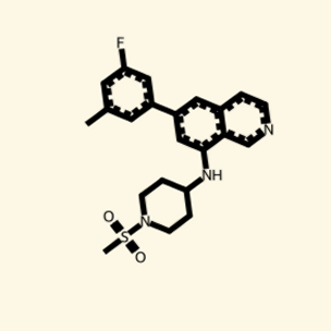 Cc1cc(F)cc(-c2cc(NC3CCN(S(C)(=O)=O)CC3)c3cnccc3c2)c1